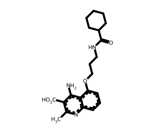 Cc1nc2cccc(OCCCNC(=O)C3CCCCC3)c2c(N)c1C(=O)O